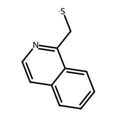 [S]Cc1nccc2ccccc12